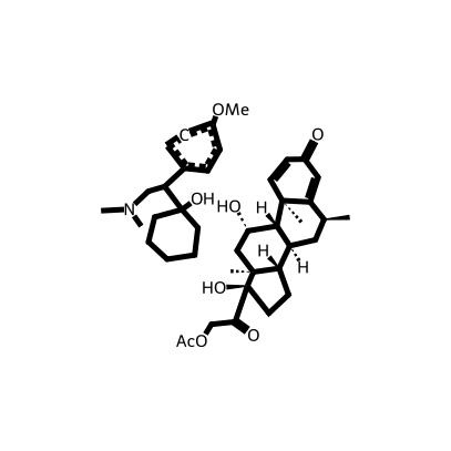 CC(=O)OCC(=O)[C@@]1(O)CC[C@H]2[C@@H]3C[C@H](C)C4=CC(=O)C=C[C@]4(C)[C@H]3[C@@H](O)C[C@@]21C.COc1ccc(C(CN(C)C)C2(O)CCCCC2)cc1